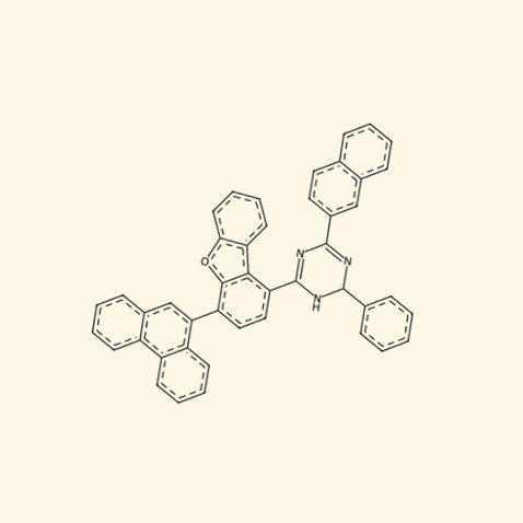 c1ccc(C2N=C(c3ccc4ccccc4c3)N=C(c3ccc(-c4cc5ccccc5c5ccccc45)c4oc5ccccc5c34)N2)cc1